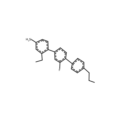 CCCc1ccc(-c2ccc(-c3ccc([SiH3])cc3CC)cc2F)cc1